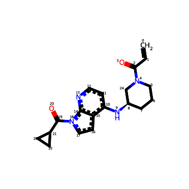 C=CC(=O)N1CCC[C@@H](Nc2ccnc3c2ccn3C(=O)C2CC2)C1